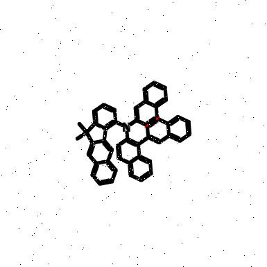 CC1(C)c2cc3ccccc3cc2-c2c(N(c3ccc4ccccc4c3)c3ccc4ccccc4c3-c3ccc4ccccc4c3)cccc21